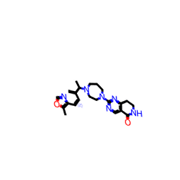 C=C(/C=C\c1ncoc1C)C(C)N1CCCN(c2ncc3c(n2)CCNC3=O)CC1